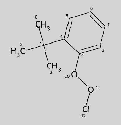 CC(C)(C)c1ccccc1OOCl